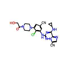 N#Cc1cc(Nc2nc(NC3CC3)c3ncc(C#N)n3n2)c(Cl)c(N2CCN(C(=O)CO)CC2)c1